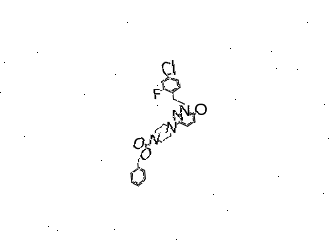 O=C(OCc1ccccc1)N1CCN(c2ccc(=O)n(CCc3ccc(Cl)cc3F)n2)CC1